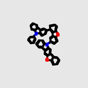 c1ccc(-n2c3ccccc3c3cc(-c4cccc5oc6ccc(-n7c8ccccc8c8cc9oc%10ccccc%10c9cc87)cc6c45)ccc32)cc1